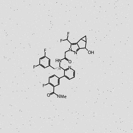 CNC(=O)c1cc(-c2cccnc2[C@H](Cc2cc(F)cc(F)c2)NC(=O)Cn2nc3c(c2C(F)F)C2CC2C3O)ccc1F